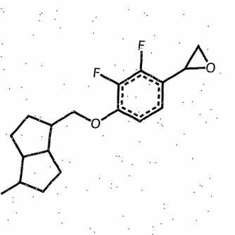 CCC1CCC2C(COc3ccc(C4CO4)c(F)c3F)CCC12